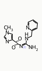 Cn1cnc(S(=O)(=O)/N=C(/N)NCc2ccccn2)c1